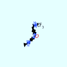 O=C(N1CC2(CC(Cc3cnn(CC(F)(F)F)n3)C2)C1)N1CC2(CC(n3cnc(C4CC4)n3)C2)C1